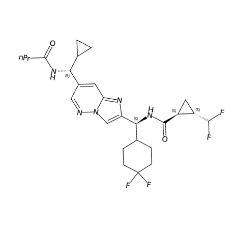 CCCC(=O)N[C@@H](c1cnn2cc([C@@H](NC(=O)[C@H]3C[C@@H]3C(F)F)C3CCC(F)(F)CC3)nc2c1)C1CC1